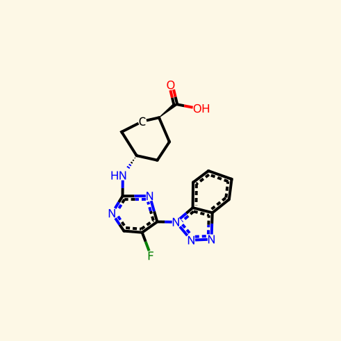 O=C(O)[C@H]1CC[C@H](Nc2ncc(F)c(-n3nnc4ccccc43)n2)CC1